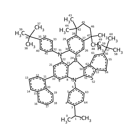 CC(C)c1ccc(N2c3cc(-c4cccc5ccccc45)cc4c3B(c3cc5c(cc3N4c3ccc(C(C)(C)C)cc3)C(C)(C)CCC5(C)C)c3c2sc2ccc(C(C)(C)C)cc32)cc1